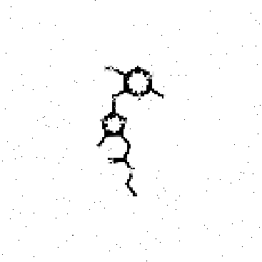 CCOC(=O)Cc1sc(Sc2nc(C)ncc2S)nc1C